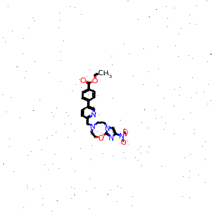 CCOC(=O)c1ccc(-c2ccc(CN3CCOc4nc([N+](=O)[O-])cn4CC3)nc2)cc1